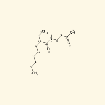 CCCCCCC(CC)C(=O)NCCC(=O)O